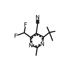 Cc1nc(C(F)F)c(C#N)c(C(C)(C)C)n1